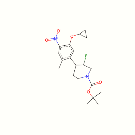 Cc1cc([N+](=O)[O-])c(OC2CC2)cc1C1CCN(C(=O)OC(C)(C)C)CC1F